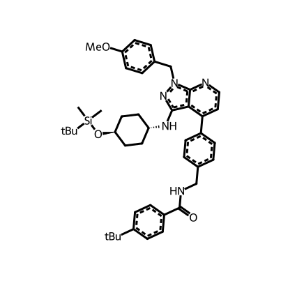 COc1ccc(Cn2nc(N[C@H]3CC[C@H](O[Si](C)(C)C(C)(C)C)CC3)c3c(-c4ccc(CNC(=O)c5ccc(C(C)(C)C)cc5)cc4)ccnc32)cc1